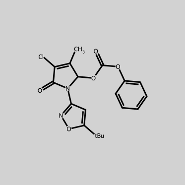 CC1=C(Cl)C(=O)N(c2cc(C(C)(C)C)on2)C1OC(=O)Oc1ccccc1